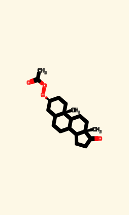 CC(=O)OO[C@@H]1CC[C@@]2(C)C(CCC3C2CC[C@]2(C)C(=O)CCC32)C1